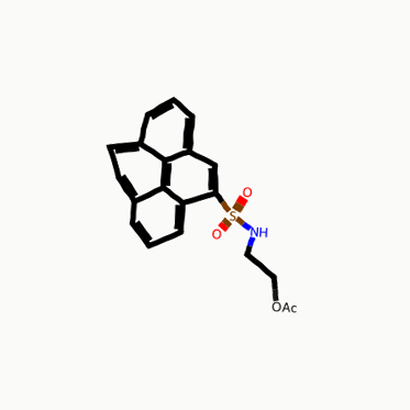 CC(=O)OCCNS(=O)(=O)c1cc2cccc3ccc4cccc1c4c32